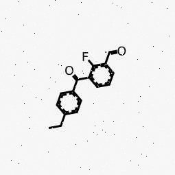 CCc1ccc(C(=O)c2cccc([C]=O)c2F)cc1